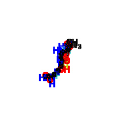 CCN(C)S(=O)(=O)Nc1ccc(F)c(C(=O)c2c[nH]c3ncc(-c4cnc(N5CCN(C(=O)CC6(O)CCN(c7ccc(NC8CCC(=O)NC8=O)cc7F)CC6)CC5)c(C[SH](=O)=O)c4)cc23)c1F